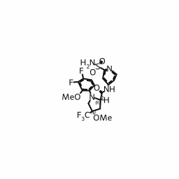 [2H][C@]1(C(=O)Nc2ccnc(S(N)(=O)=O)c2)C[C@@](OC)(C(F)(F)F)CN1c1ccc(F)c(F)c1OC